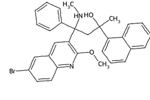 CNC(CC(C)(O)c1cccc2ccccc12)(c1ccccc1)c1cc2cc(Br)ccc2nc1OC